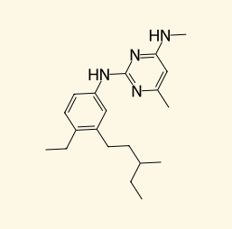 CCc1ccc(Nc2nc(C)cc(NC)n2)cc1CCC(C)CC